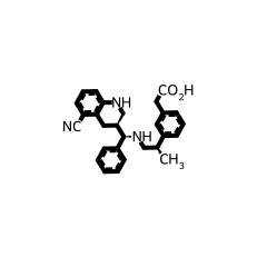 C[C@@H](CN[C@H](c1ccccc1)[C@@H]1CNc2cccc(C#N)c2C1)c1cccc(CC(=O)O)c1